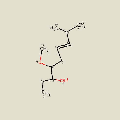 CCC(O)C(CC=CC(C)C)OC